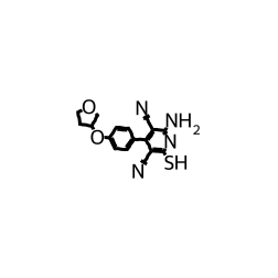 N#Cc1c(N)nc(S)c(C#N)c1-c1ccc(OC2CCOC2)cc1